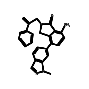 C=C(CN1Cc2c(-c3ccc4cnn(C)c4c3)ccc(N)c2C1=O)c1ccccc1